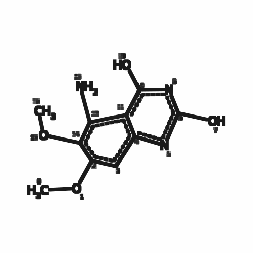 COc1cc2nc(O)nc(O)c2c(N)c1OC